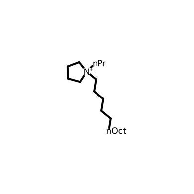 CCCCCCCCCCCCC[N+]1(CCC)CCCC1